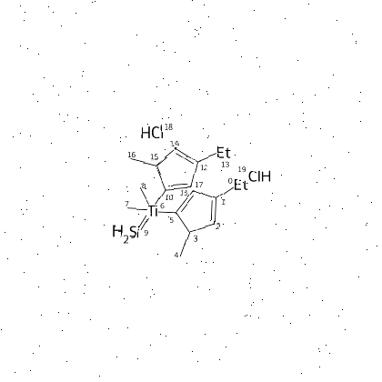 CCC1=CC(C)[C]([Ti]([CH3])([CH3])(=[SiH2])[C]2=CC(CC)=CC2C)=C1.Cl.Cl